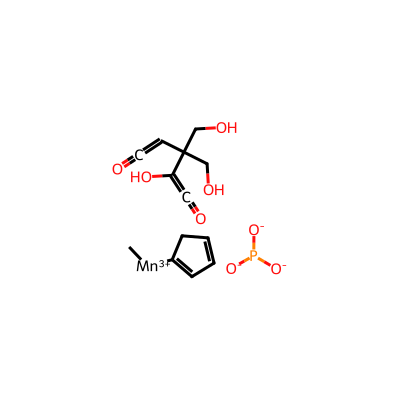 O=C=CC(CO)(CO)C(O)=C=O.[CH3][Mn+3][C]1=CC=CC1.[O-]P([O-])[O-]